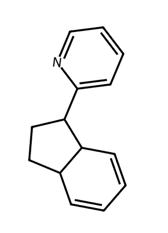 C1=CC2CCC(c3ccccn3)C2C=C1